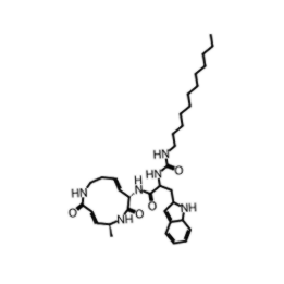 CCCCCCCCCCCCNC(=O)NC(CC1C=C2C=CC=CC2N1)C(=O)N[C@H]1/C=C/CCNC(=O)/C=C/[C@H](C)NC1=O